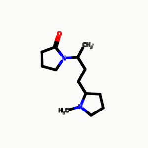 [CH2]C(CCC1CCCN1C)N1CCCC1=O